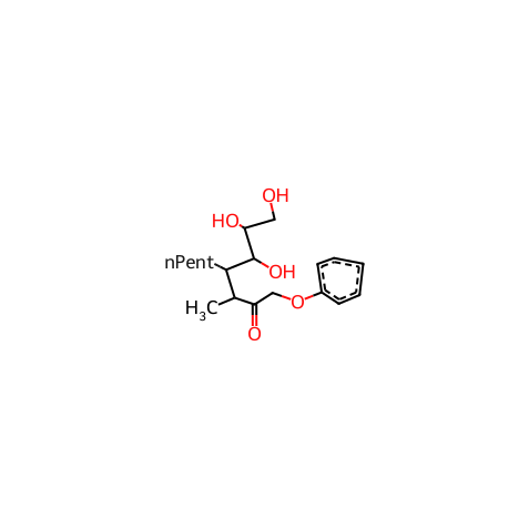 CCCCCC(C(C)C(=O)COc1ccccc1)C(O)C(O)CO